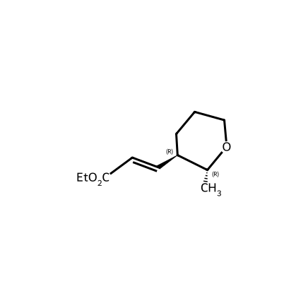 CCOC(=O)C=C[C@H]1CCCO[C@@H]1C